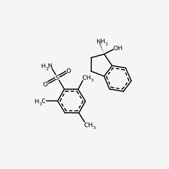 Cc1cc(C)c(S(N)(=O)=O)c(C)c1.N[C@@]1(O)CCc2ccccc21